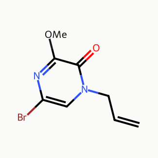 C=CCn1cc(Br)nc(OC)c1=O